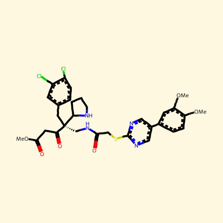 COC(=O)CC(=O)[C@@](CNC(=O)CSc1ncc(-c2ccc(OC)c(OC)c2)cn1)(Cc1ccc(Cl)c(Cl)c1)C1CCCN1